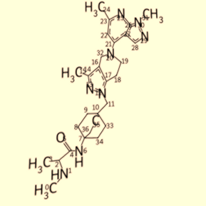 CNC(C)C(=O)NC12CCC(Cn3nc(C)c4c3CCN(c3cc(C)nc5c3cnn5C)C4)(CC1)CC2